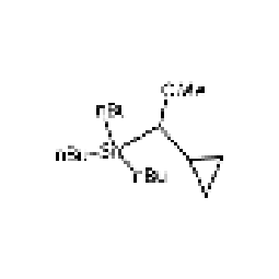 CCC[CH2][Sn]([CH2]CCC)([CH2]CCC)[CH](OC)C1CC1